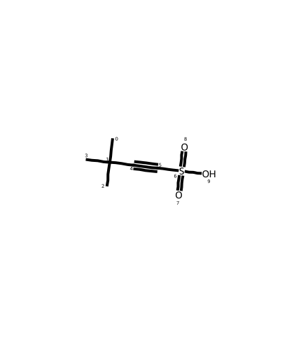 CC(C)(C)C#CS(=O)(=O)O